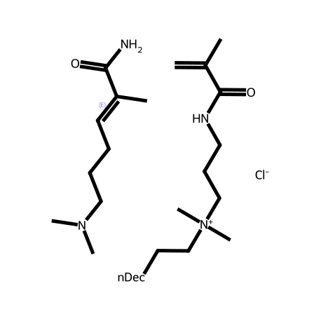 C/C(=C\CCCN(C)C)C(N)=O.C=C(C)C(=O)NCCC[N+](C)(C)CCCCCCCCCCCC.[Cl-]